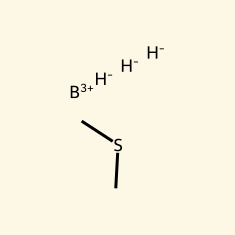 CSC.[B+3].[H-].[H-].[H-]